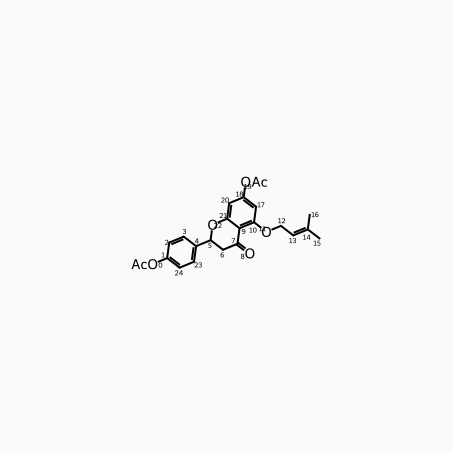 CC(=O)Oc1ccc(C2CC(=O)c3c(OCC=C(C)C)cc(OC(C)=O)cc3O2)cc1